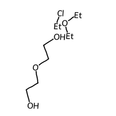 CCCl.CCOCC.OCCOCCO